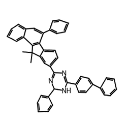 CC1(C)c2cc(C3=NC(c4ccccc4)NC(c4ccc(-c5ccccc5)cc4)=N3)ccc2-c2c(-c3ccccc3)cc3ccccc3c21